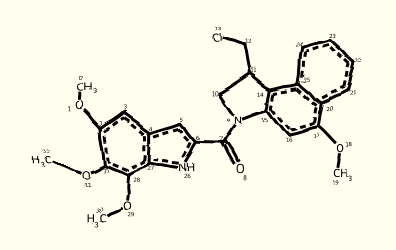 COc1cc2cc(C(=O)N3CC(CCl)c4c3cc(OC)c3ccccc43)[nH]c2c(OC)c1OC